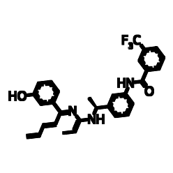 C=C/C=C/C(=N\C(=C/C)N[C@@H](C)c1cccc(NC(=O)c2cccc(C(F)(F)F)c2)c1)c1cccc(O)c1